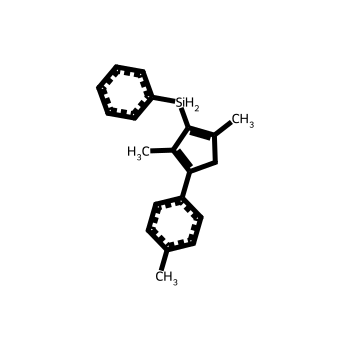 CC1=C([SiH2]c2ccccc2)C(C)=C(c2ccc(C)cc2)C1